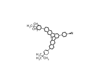 CC(C)(C)C1=CC=C(c2ccc3cc4c5cc(-c6ccc(C#N)cc6)cc6c7cc8ccc(-c9ccc(C(C)(C)C)cc9)cc8cc7n(c4cc3c2)c56)CC1